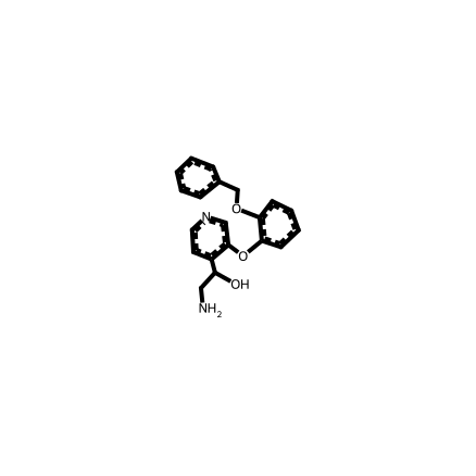 NCC(O)c1ccncc1Oc1ccccc1OCc1ccccc1